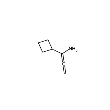 C=C=C(N)C1CCC1